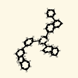 c1ccc(-c2cccc3cc(-c4nc(-c5cccc(-c6ccc7oc8ccccc8c7c6)c5)nc(-c5ccc6ccccc6c5)n4)ccc23)cc1